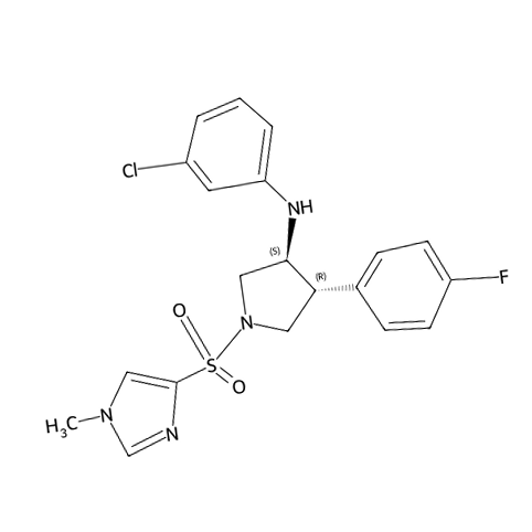 Cn1cnc(S(=O)(=O)N2C[C@@H](Nc3cccc(Cl)c3)[C@H](c3ccc(F)cc3)C2)c1